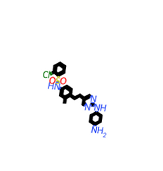 Cc1cc(NS(=O)(=O)c2ccccc2Cl)ccc1CCc1cnc(NC2CCC(N)CC2)nc1